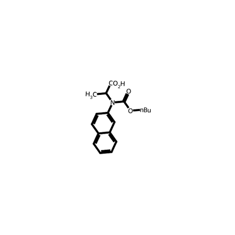 CCCCOC(=O)N(c1ccc2ccccc2c1)C(C)C(=O)O